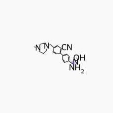 CN1CCCN(Cc2ccc(-c3ccc(/C(N)=N\O)cc3)c(C#N)c2)CC1